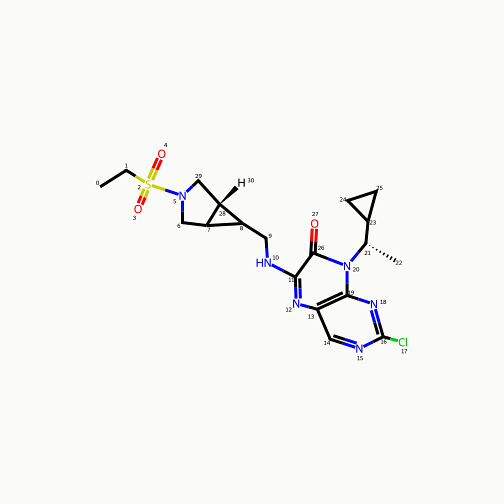 CCS(=O)(=O)N1CC2C(CNc3nc4cnc(Cl)nc4n([C@@H](C)C4CC4)c3=O)[C@H]2C1